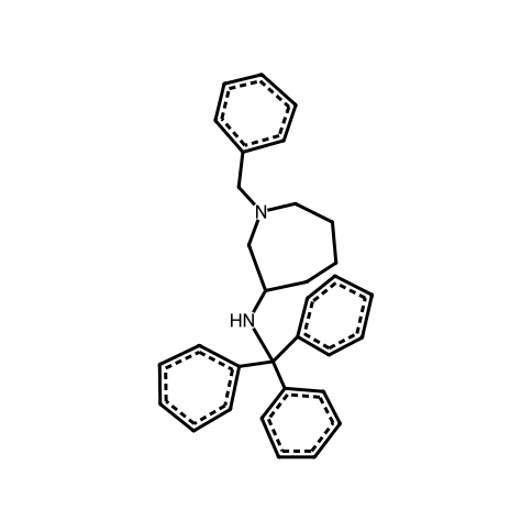 c1ccc(CN2CCCCC(NC(c3ccccc3)(c3ccccc3)c3ccccc3)C2)cc1